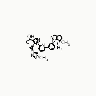 Cn1cc([C@@H]2C[C@H]2c2c(C(=O)O)cnn2-c2cccc(-c3cccc(-n4ncc5c4C(C)(C)CC5)c3)n2)nn1